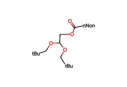 CCCCCCCCCC(=O)OCC(OCC(C)(C)C)OCC(C)(C)C